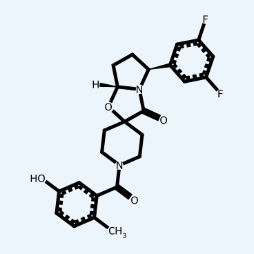 Cc1ccc(O)cc1C(=O)N1CCC2(CC1)O[C@@H]1CC[C@@H](c3cc(F)cc(F)c3)N1C2=O